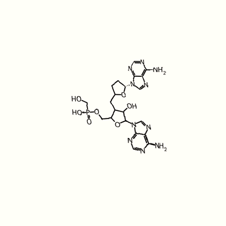 Nc1ncnc2c1ncn2C1OC(COP(=O)(O)CO)C(CC2CC[C@H](n3cnc4c(N)ncnc43)O2)C1O